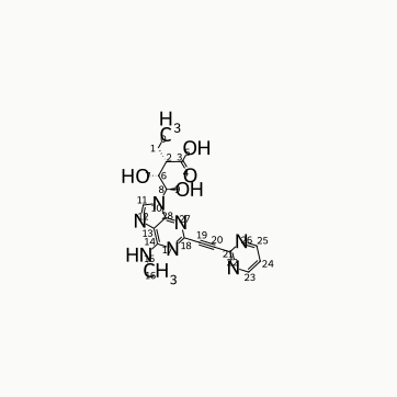 CC[C@H](C(=O)O)[C@@H](O)[C@@H](O)n1cnc2c(NC)nc(C#Cc3ncccn3)nc21